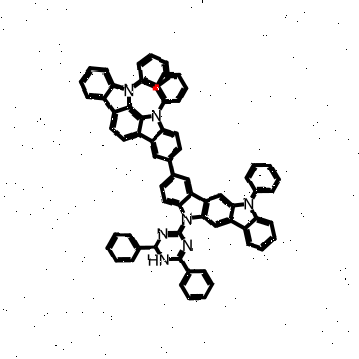 c1ccc(C2=NC(n3c4ccc(-c5ccc6c(c5)c5ccc7c8ccccc8n(-c8ccccc8)c7c5n6-c5ccccc5)cc4c4cc5c(cc43)c3ccccc3n5-c3ccccc3)=NC(c3ccccc3)N2)cc1